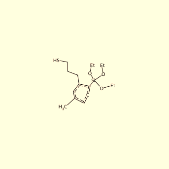 CCO[Si](OCC)(OCC)c1ccc(C)cc1CCCS